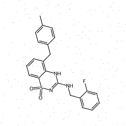 Cc1ccc(Cc2cccc3c2NC(NCc2ccccc2F)=NS3(=O)=O)cc1